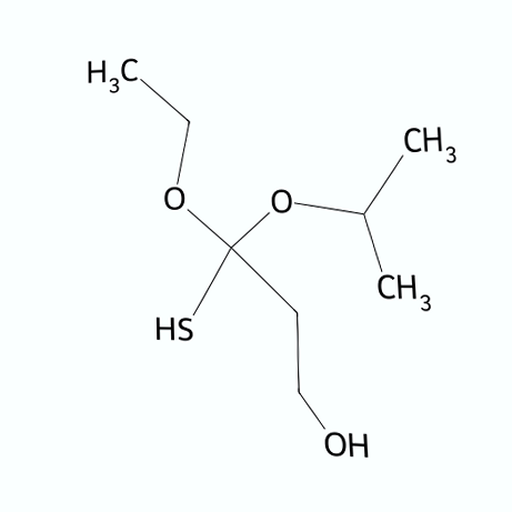 CCOC(S)(CCO)OC(C)C